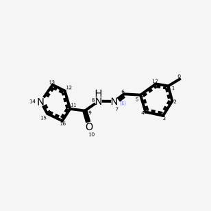 Cc1cccc(/C=N/NC(=O)c2ccncc2)c1